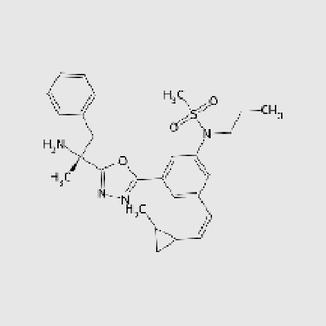 CCCN(c1cc(/C=C\C2CC2C)cc(-c2nnc([C@](C)(N)Cc3ccccc3)o2)c1)S(C)(=O)=O